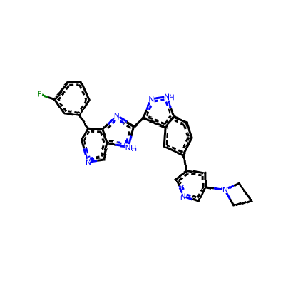 Fc1cccc(-c2cncc3[nH]c(-c4n[nH]c5ccc(-c6cncc(N7CCC7)c6)cc45)nc23)c1